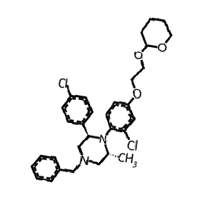 C[C@@H]1CN(Cc2ccccc2)C[C@@H](c2ccc(Cl)cc2)N1c1ccc(OCCOC2CCCCO2)cc1Cl